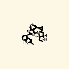 Cc1cc2c(-c3nc(N4CC[C@H]5NCC[C@H]54)c4c(C5CC5)cncc4n3)ccnc2[nH]1